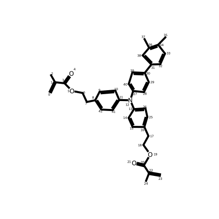 C=C(C)C(=O)OCCc1ccc(N(c2ccc(CCOC(=O)C(=C)C)cc2)c2ccc(-c3ccc(C)c(C)c3)cc2)cc1